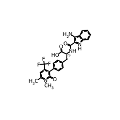 Cc1cc(C(F)(F)F)c(-c2ccc(C[C@H](NC(=O)c3[nH]c4ccccc4c3N)C(=O)O)cc2)c(=O)n1C